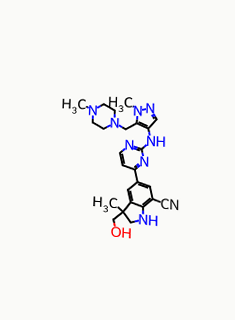 CN1CCN(Cc2c(Nc3nccc(-c4cc(C#N)c5c(c4)C(C)(CO)CN5)n3)cnn2C)CC1